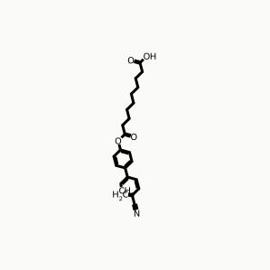 C=C(C#N)/C=C\C(=C/C)c1ccc(OC(=O)CCCCCCCCC(=O)O)cc1